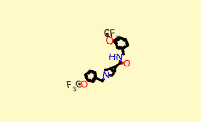 O=C(NCc1cccc(OC(F)(F)F)c1)C1C2CN(Cc3cccc(OC(F)(F)F)c3)CC21